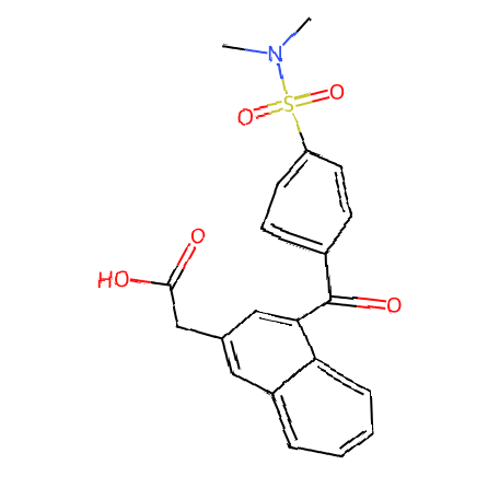 CN(C)S(=O)(=O)c1ccc(C(=O)c2cc(CC(=O)O)cc3ccccc23)cc1